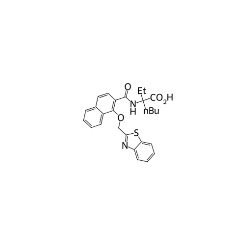 CCCCC(CC)(NC(=O)c1ccc2ccccc2c1OCc1nc2ccccc2s1)C(=O)O